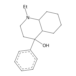 CCN1CCC(O)(c2ccccc2)C2CCCCC21